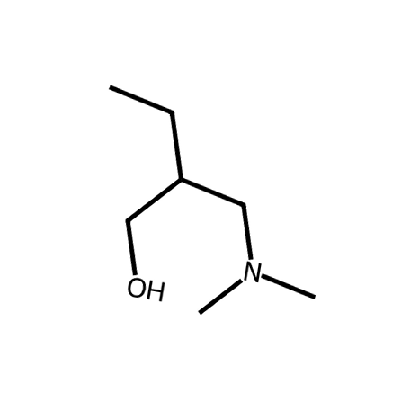 CCC(CO)CN(C)C